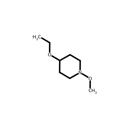 [CH2]COC1CCN(OC)CC1